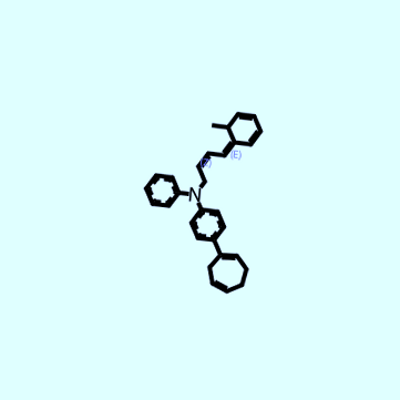 CC1C=CC=C/C1=C/C=C\CN(c1ccccc1)c1ccc(C2=CCCC=CC2)cc1